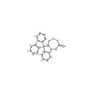 O=C1CCCN(C(c2ccccc2)(c2ccccc2)c2ccccc2)CC1